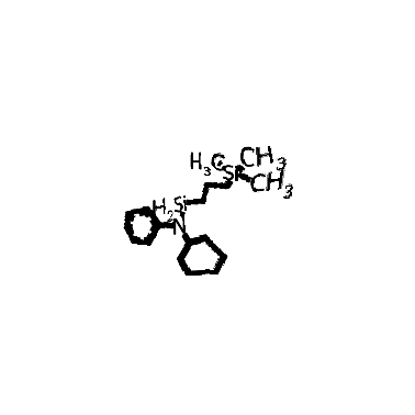 C[Si](C)(C)CCC[SiH2]N(c1ccccc1)C1CCCCC1